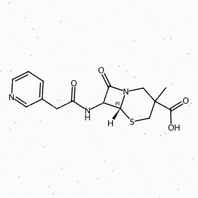 CC1(C(=O)O)CS[C@@H]2C(NC(=O)Cc3cccnc3)C(=O)N2C1